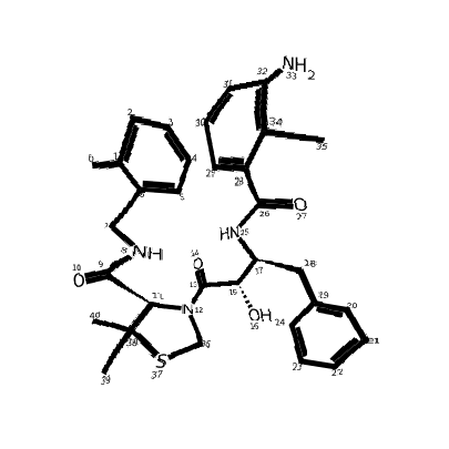 Cc1ccccc1CNC(=O)[C@H]1N(C(=O)[C@@H](O)[C@H](Cc2ccccc2)NC(=O)c2cccc(N)c2C)CSC1(C)C